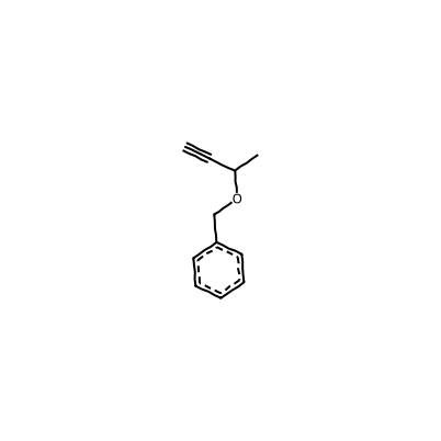 C#CC(C)OCc1ccccc1